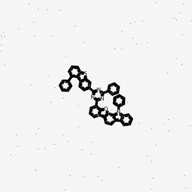 c1ccc(-c2nc(-c3ccc4c(c3)sc3cccc(-c5ccccc5)c34)nc(-c3cccc4c3oc3c4ccc4c5ccccc5n(-c5ccccc5)c43)n2)cc1